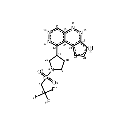 O=S(=O)(CC(F)(F)F)N1CCC(c2nncc3nnc4[nH]ccc4c23)C1